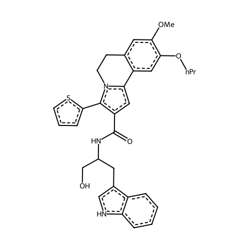 CCCOc1cc2c(cc1OC)CCn1c-2cc(C(=O)NC(CO)Cc2c[nH]c3ccccc23)c1-c1cccs1